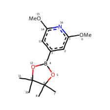 COc1cc(B2OC(C)(C)C(C)(C)O2)cc(OC)n1